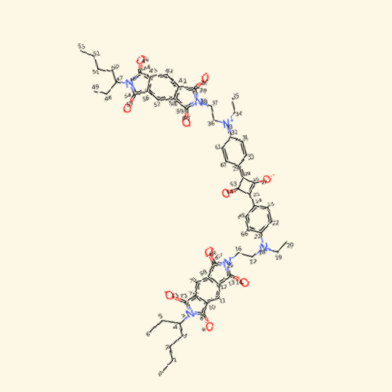 CCCCC(CC)n1c(=O)c2cc3c(=O)n(CCN(CC)c4ccc(C5=C([O-])C(=C6C=CC(=[N+](CC)CCn7c(=O)c8cc9c(=O)n(C(CC)CCCC)c(=O)c9cc8c7=O)C=C6)C5=O)cc4)c(=O)c3cc2c1=O